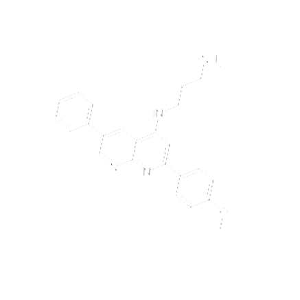 COc1ccc(-c2cc(NCCCN)c3cc(-c4ccccc4)cnc3n2)cc1